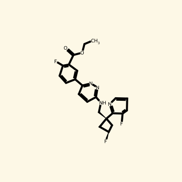 CCOC(=O)c1cc(-c2ccc(NC[C@]3(c4ncccc4F)C[C@H](F)C3)nn2)ccc1F